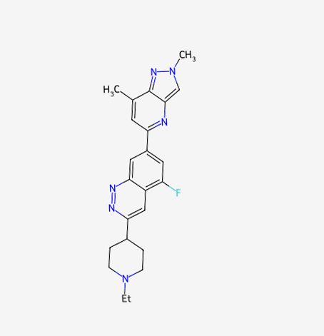 CCN1CCC(c2cc3c(F)cc(-c4cc(C)c5nn(C)cc5n4)cc3nn2)CC1